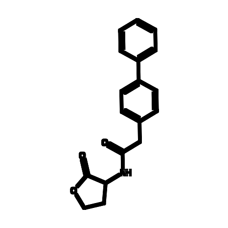 O=C(Cc1ccc(-c2ccccc2)cc1)NC1CCOC1=O